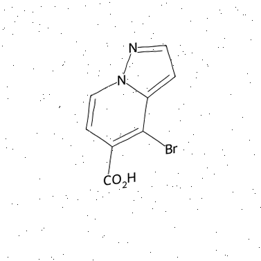 O=C(O)c1ccn2nccc2c1Br